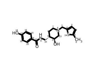 Cc1ccc(CN2CC[C@@H](CNC(=O)c3ccc(O)cc3)[C@H](O)C2)s1